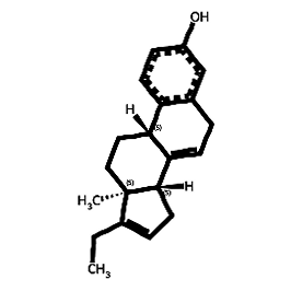 CCC1=CC[C@H]2C3=CCc4cc(O)ccc4[C@H]3CC[C@]12C